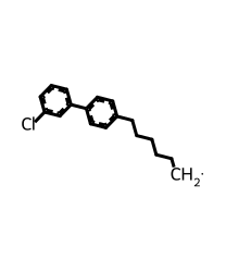 [CH2]CCCCCc1ccc(-c2cccc(Cl)c2)cc1